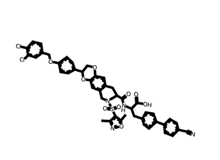 Cc1noc(C)c1S(=O)(=O)N1Cc2cc3c(cc2CC1C(=O)NC(Cc1ccc(-c2ccc(C#N)cc2)cc1)C(=O)O)OCC(c1ccc(OCc2ccc(Cl)c(Cl)c2)cc1)O3